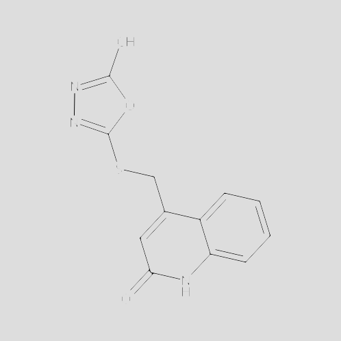 Cc1nnc(SCc2cc(=O)[nH]c3ccccc23)o1